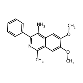 COc1cc2c(C)nc(-c3ccccc3)c(N)c2cc1OC